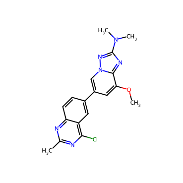 COc1cc(-c2ccc3nc(C)nc(Cl)c3c2)cn2nc(N(C)C)nc12